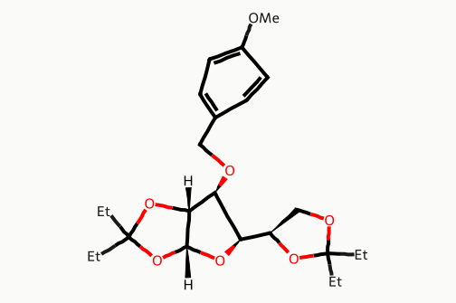 CCC1(CC)O[C@H]2O[C@H]([C@H]3COC(CC)(CC)O3)[C@H](OCc3ccc(OC)cc3)[C@H]2O1